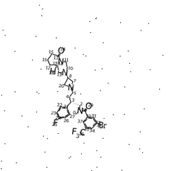 CN(C[C@@H](CCN1CC(N2CCN3C(=O)CCC[C@H]3C2)C1)c1ccc(F)cc1)C(=O)c1cc(Br)cc(C(F)(F)F)c1